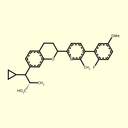 COc1ccc(F)c(-c2ccc(C3CCc4ccc(C(C5CC5)[C@H](C)C(=O)O)cc4O3)nc2C)c1